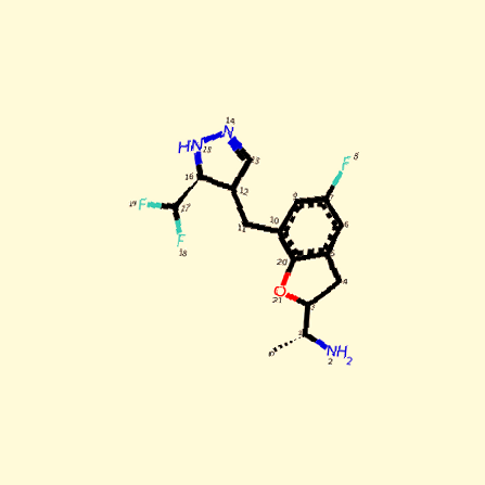 C[C@@H](N)C1Cc2cc(F)cc(CC3C=NN[C@@H]3C(F)F)c2O1